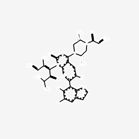 C=CC(=O)N1C[C@H](C)N(c2nc(=O)n(/C(C(=N)C(C)C)=C(\C)C=C)c3nc(-c4c(F)c(F)cc5ccoc45)c(Cl)cc23)C[C@H]1C